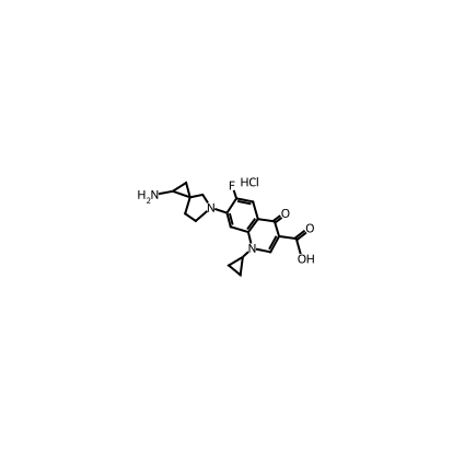 Cl.NC1CC12CCN(c1cc3c(cc1F)c(=O)c(C(=O)O)cn3C1CC1)C2